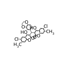 Cc1cc2oc(=O)c(C(c3ccc4c(c3)OCCO4)c3c(O)c4cc(Cl)c(C)cc4oc3=O)c(O)c2cc1Cl